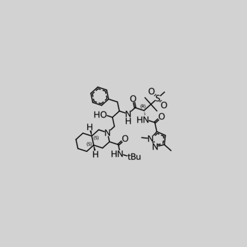 Cc1cc(C(=O)N[C@H](C(=O)NC(Cc2ccccc2)C(O)CN2C[C@H]3CCCC[C@H]3CC2C(=O)NC(C)(C)C)C(C)(C)S(C)(=O)=O)n(C)n1